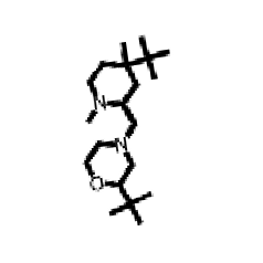 CN1CCC(C)(C(C)(C)C)CC1CN1CCOC(C(C)(C)C)C1